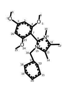 COc1cc(OC)c(-c2n(C)c(C)c(C)[n+]2Cc2ccccc2)c(OC)c1